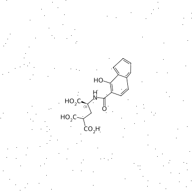 O=C(N[C@@H](CC(C(=O)O)C(=O)O)C(=O)O)c1ccc2ccccc2c1O